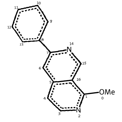 COc1nccc2cc(-c3ccccc3)ncc12